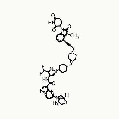 Cn1c(=O)n([C@H]2CCC(=O)NC2=O)c2cccc(C#CCN3CCN(C[C@H]4CC[C@H](n5cc(NC(=O)c6cnn7ccc(N8C[C@H]9C[C@@H]8CO9)nc67)c(C(F)F)n5)CC4)CC3)c21